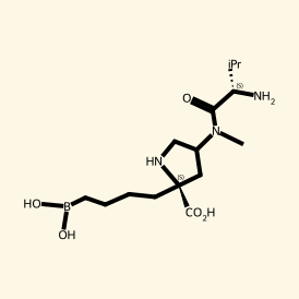 CC(C)[C@H](N)C(=O)N(C)C1CN[C@](CCCCB(O)O)(C(=O)O)C1